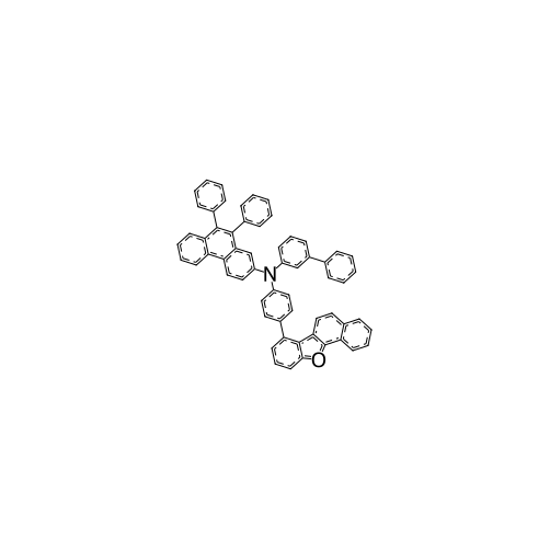 c1ccc(-c2cccc(N(c3ccc(-c4cccc5oc6c7ccccc7ccc6c45)cc3)c3ccc4c(c3)c(-c3ccccc3)c(-c3ccccc3)c3ccccc34)c2)cc1